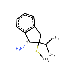 CSC1(C(C)C)Cc2ccccc2[C@H]1N